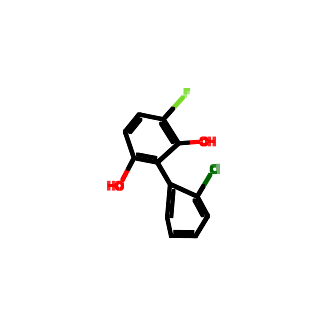 Oc1ccc(F)c(O)c1-c1ccccc1Cl